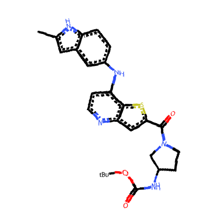 Cc1cc2cc(Nc3ccnc4cc(C(=O)N5CCC(NC(=O)OC(C)(C)C)C5)sc34)ccc2[nH]1